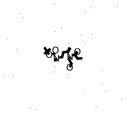 C=C(CCN(C)C(=O)OC(C)(C)C)N(CCOC)C(=O)CC